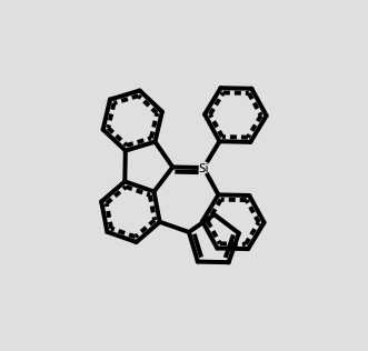 C1=CCC(c2cccc3c2C(=[Si](c2ccccc2)c2ccccc2)c2ccccc2-3)=C1